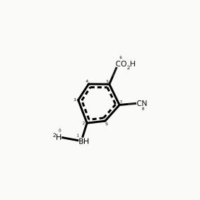 [2H]Bc1ccc(C(=O)O)c(C#N)c1